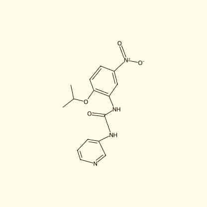 CC(C)Oc1ccc([N+](=O)[O-])cc1NC(=O)Nc1cccnc1